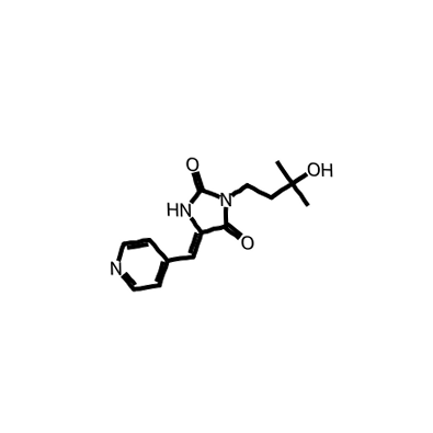 CC(C)(O)CCN1C(=O)N/C(=C\c2ccncc2)C1=O